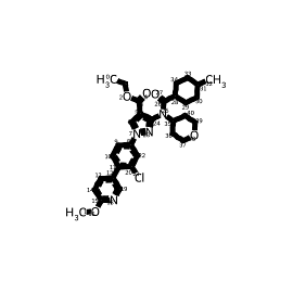 CCOC(=O)c1cn(-c2ccc(-c3ccc(OC)nc3)c(Cl)c2)nc1N(C(=O)C1CCC(C)CC1)C1CCOCC1